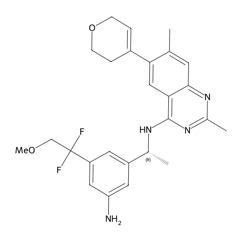 COCC(F)(F)c1cc(N)cc([C@@H](C)Nc2nc(C)nc3cc(C)c(C4=CCOCC4)cc23)c1